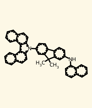 CC1(C)c2cc(Nc3cccc4ccccc34)ccc2-c2ccc(-n3c4ccc5ccccc5c4c4c5ccccc5ccc43)cc21